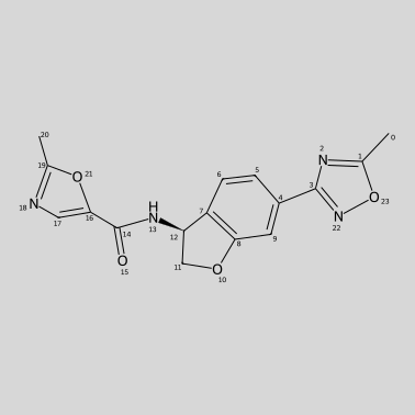 Cc1nc(-c2ccc3c(c2)OC[C@H]3NC(=O)c2cnc(C)o2)no1